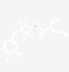 C=C/C=C(\C=C)C(=O)N[C@H]1C(C)(C)[C@H](Oc2ccc(C#N)c(Cl)c2)C1(C)C